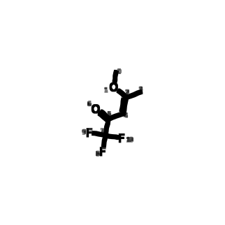 CO/C(C)=C\C(=O)C(F)(F)F